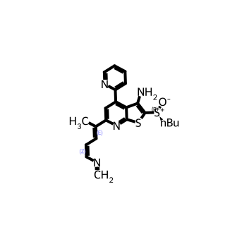 C=N/C=C\C=C(/C)c1cc(-c2ccccn2)c2c(N)c([S@@+]([O-])CCCC)sc2n1